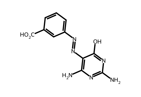 Nc1nc(N)c(N=Nc2cccc(C(=O)O)c2)c(O)n1